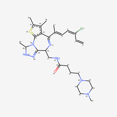 C=C/C(Cl)=C\C=C(/C)C1=NC(CNC(=O)CCCN2CCN(C)CC2)C2=NNC(C)N2c2sc(C)c(C)c21